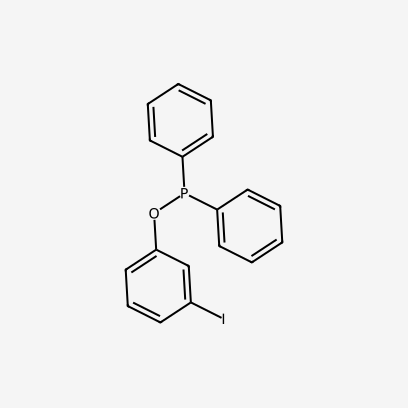 Ic1cccc(OP(c2ccccc2)c2ccccc2)c1